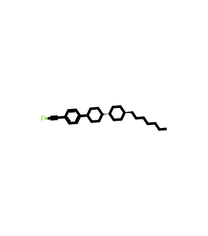 CCCCCCC[C@H]1CC[C@H](C2CCC(c3ccc(C#CF)cc3)CC2)CC1